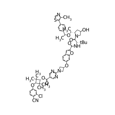 Cc1ncsc1-c1ccc([C@H](C)OC(C)[C@@H]2C[C@@H](O)CN2C(=O)[C@@H](NC(=O)c2cc3ccc(OC4CN(c5ncc(C(=O)O[C@H]6C(C)(C)[C@H](Oc7ccc(C#N)c(Cl)c7)C6(C)C)cn5)C4)cc3o2)C(C)(C)C)cc1